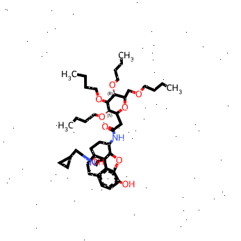 CCCCOCC1OC(CC(=O)NC2CCC3(O)C4Cc5ccc(O)c6c5C3(CCN4CC3CC3)C2O6)[C@H](OCCCC)C(OCCCC)[C@@H]1OCCCC